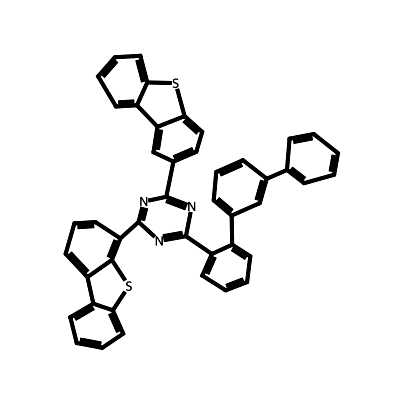 c1ccc(-c2cccc(-c3ccccc3-c3nc(-c4ccc5sc6ccccc6c5c4)nc(-c4cccc5c4sc4ccccc45)n3)c2)cc1